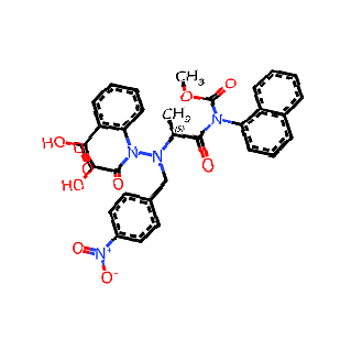 COC(=O)N(C(=O)[C@H](C)N(Cc1ccc([N+](=O)[O-])cc1)N(C(=O)C(=O)O)c1ccccc1C(=O)O)c1cccc2ccccc12